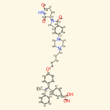 CC/C(=C(\c1ccc(OCCCCCN2CCN(c3ccc4c(c3)CN(C3CCC(=O)NC3=O)C4=O)CC2)cc1)c1ccc(B(O)O)cc1)c1ccccc1